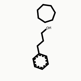 C1CCCCCC1.OCCCc1ccccc1